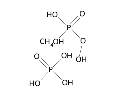 C.O=P(O)(O)O.O=P(O)(O)OO